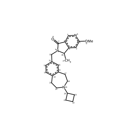 COc1cc2c(cn1)C(=O)N(Cc1ccc3c(c1)CCN(C1CCC1)CC3)C2C